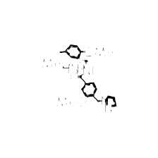 COc1cc(C(=O)N[S@](=N)(=O)c2c(OC)ccc(C)c2OC)ccc1Cn1cccn1